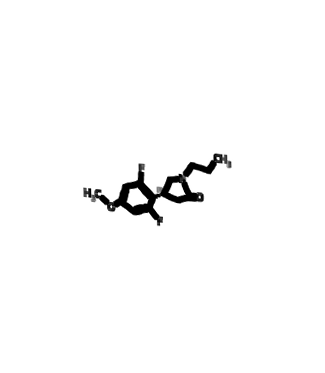 CCCN1C[C@@H](c2c(F)cc(OC)cc2F)CC1=O